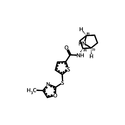 Cc1coc(Sc2ccc(C(=O)N[C@@H]3C[C@H]4CC[C@@H]3N4)s2)n1